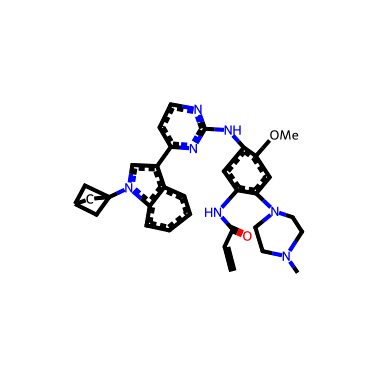 C=CC(=O)Nc1cc(Nc2nccc(-c3cn(C45CC(C4)C5)c4ccccc34)n2)c(OC)cc1N1CCN(C)CC1